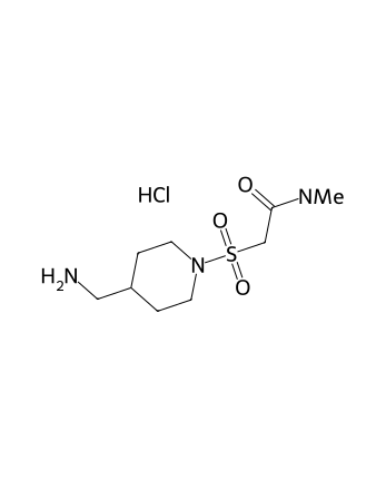 CNC(=O)CS(=O)(=O)N1CCC(CN)CC1.Cl